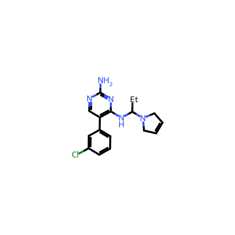 CCC(Nc1nc(N)ncc1-c1cccc(Cl)c1)N1CC=CC1